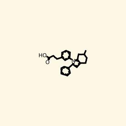 CC1CCc2cc(-c3ccccc3)n(-c3cccc(CCC(=O)O)c3)c2C1